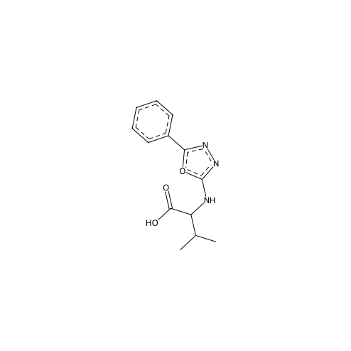 CC(C)C(Nc1nnc(-c2ccccc2)o1)C(=O)O